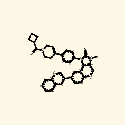 Cn1c(=O)n(-c2ccc(C3=CCN(C(=O)C4CCC4)CC3)cc2)c2c3cc(-c4cnc5ccccc5c4)ccc3ncc21